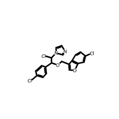 Clc1ccc(C(OCc2coc3cc(Cl)ccc23)C(Cl)n2ccnc2)cc1